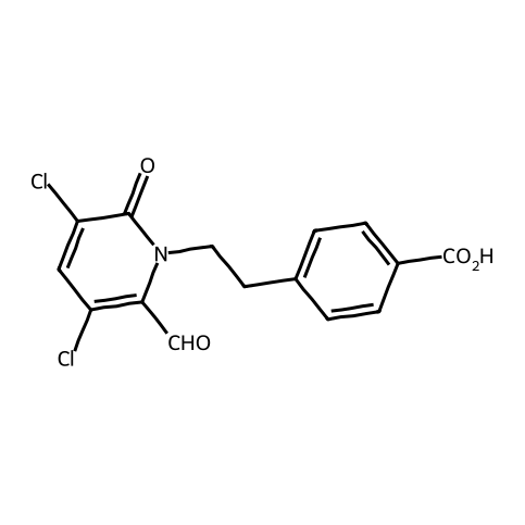 O=Cc1c(Cl)cc(Cl)c(=O)n1CCc1ccc(C(=O)O)cc1